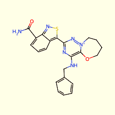 NC(=O)c1cccc2c(-c3nc(NCc4ccccc4)c4[n+](n3)CCCCO4)snc12